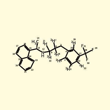 [2H]c1c([2H])c(CC([2H])([2H])C([2H])([2H])N[C@H](C)c2cccc3ccccc23)c([2H])c(C(F)(F)F)c1[2H]